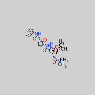 CN(C)C(=O)/C=C/CC[C@H](NC(=O)OC(C)(C)C)C(=O)Nc1cccn(CC(=O)NC2C3CC4CC(C3)CC2C4)c1=O